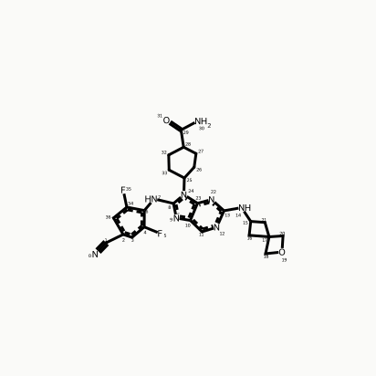 N#Cc1cc(F)c(Nc2nc3cnc(NC4CC5(COC5)C4)nc3n2C2CCC(C(N)=O)CC2)c(F)c1